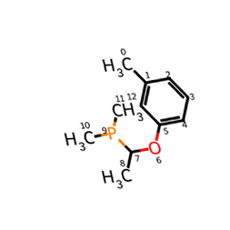 Cc1cccc(OC(C)P(C)C)c1